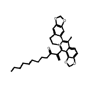 C=C(C(=O)CCCCCCCCC)c1c2c3c(ccc2c(C)c2[n+]1CCc1cc4c(cc1-2)OCO4)OCO3